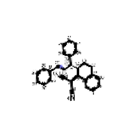 N#CC(C#N)=C1c2ccccc2CCC1[C@@H](/C=C/c1ccccc1)c1ccccc1